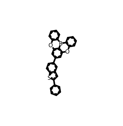 c1ccc(-c2cc3cc(-c4cc5c6c(c4)Oc4ccccc4B6c4ccccc4O5)ccc3s2)cc1